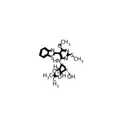 COc1nc(SC)nc(N[C@@H]2C[C@H](CO)[C@H]3OC(C)(C)O[C@H]32)c1-c1nc2ccccc2s1